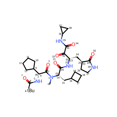 CN(C(=O)[C@H](NC(=O)C(C)(C)C)C1CCCC1)[C@@H](CC1CCC1)C(=O)N[C@@H](C[C@@H]1CCNC1=O)C(=O)C(=O)NC1CC1